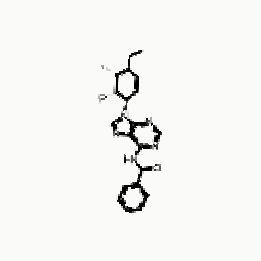 CC[C@H]1C=C[C@@H](n2cnc3c(NC(=O)c4ccccc4)ncnc32)[C@H](F)[C@@H]1C